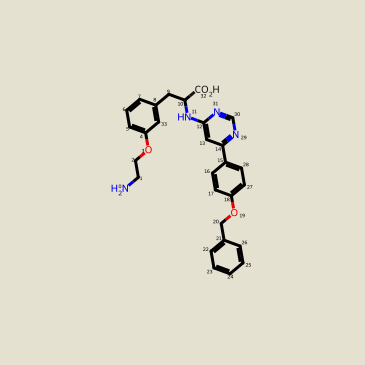 NCCOc1cccc(CC(Nc2cc(-c3ccc(OCc4ccccc4)cc3)ncn2)C(=O)O)c1